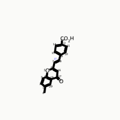 Cc1ccc2oc(/C=C/c3ccc(C(=O)O)cc3)cc(=O)c2c1